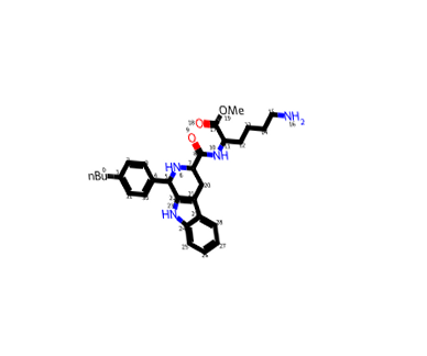 CCCCc1ccc(C2NC(C(=O)NC(CCCCN)C(=O)OC)Cc3c2[nH]c2ccccc32)cc1